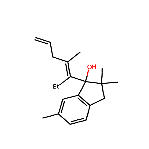 C=CC/C(C)=C(\CC)C1(O)c2cc(C)ccc2CC1(C)C